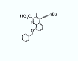 CCCCC#Cc1c(C)c(C(=O)O)nc2c(OCc3ccccc3)cccc12